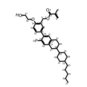 C=C(C)C(=O)OCc1cc(-c2cc3c(cc2F)CC(C2CCC(CCCCC)CC2)CC3)ccc1OCCO